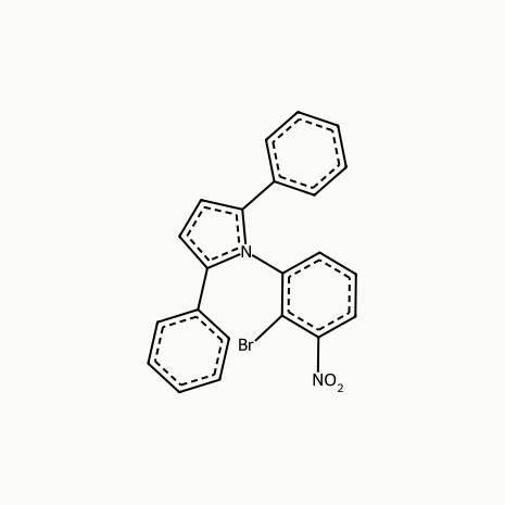 O=[N+]([O-])c1cccc(-n2c(-c3ccccc3)ccc2-c2ccccc2)c1Br